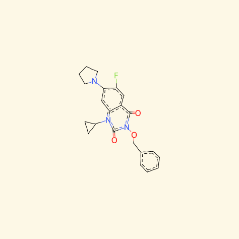 O=c1c2cc(F)c(N3CCCC3)cc2n(C2CC2)c(=O)n1OCc1ccccc1